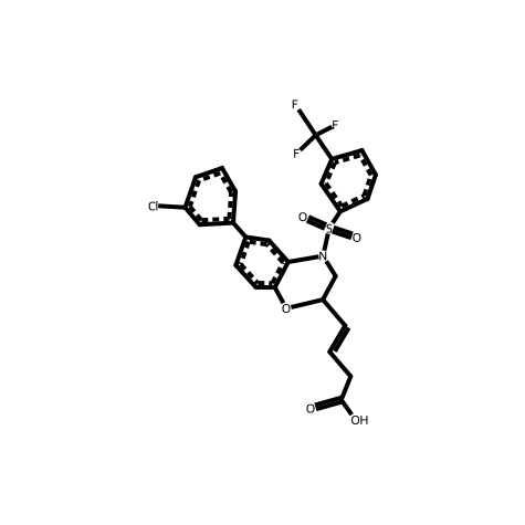 O=C(O)CC=CC1CN(S(=O)(=O)c2cccc(C(F)(F)F)c2)c2cc(-c3cccc(Cl)c3)ccc2O1